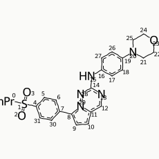 CCCS(=O)(=O)c1ccc(-c2ccc3cnc(Nc4ccc(N5CCOCC5)cc4)nn23)cc1